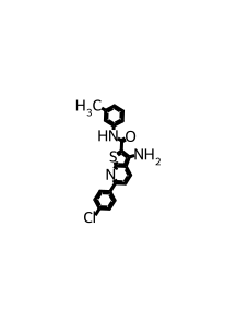 Cc1cccc(NC(=O)c2sc3nc(-c4ccc(Cl)cc4)ccc3c2N)c1